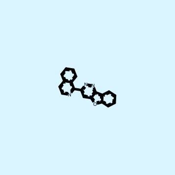 c1ccc2c(-c3cc4oc5ccccc5c4nn3)nccc2c1